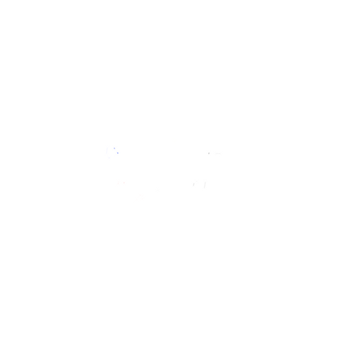 CC(C)c1scc(C(N)=O)c1C(=O)O